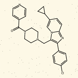 O=C(c1ccncc1)N1CCN(Cc2c(-c3ccc(Cl)cc3)nc3ccc(C4CC4)cn23)CC1